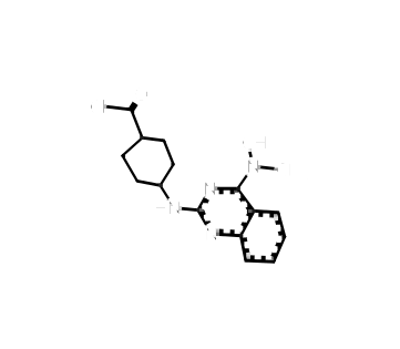 CN(C)c1nc(NC2CCC(C(=O)Cl)CC2)nc2ccccc12